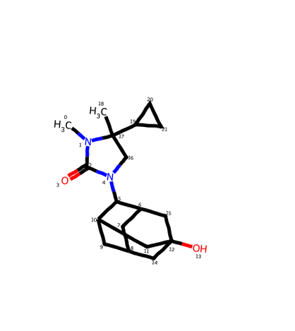 CN1C(=O)N(C2C3CC4CC2CC(O)(C4)C3)CC1(C)C1CC1